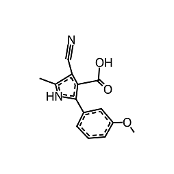 COc1cccc(-c2[nH]c(C)c(C#N)c2C(=O)O)c1